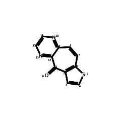 O=c1c2ccsc2ccc2nccnc12